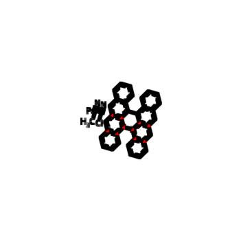 CC#N.CC#N.[Pd].c1ccc(P(c2ccccc2)c2ccc3ccccc3c2-c2c(P(c3ccccc3)c3ccccc3)ccc3ccccc23)cc1